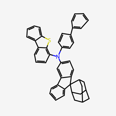 c1ccc(-c2ccc(N(c3ccc4c(c3)-c3ccccc3C43C4CC5CC(C4)CC3C5)c3cccc4c3sc3ccccc34)cc2)cc1